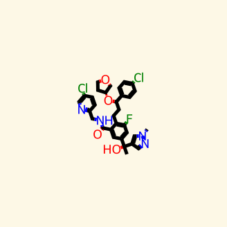 Cn1cc(C(C)(O)c2cc(F)c(CCC(O[C@H]3CCOC3)c3ccc(Cl)cc3)c(C(=O)NCc3ccc(Cl)cn3)c2)cn1